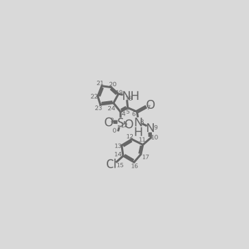 CS(=O)(=O)c1c(C(=O)N/N=C\c2ccc(Cl)cc2)[nH]c2ccccc12